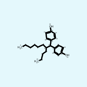 CCCCCCC(CCCC)C(c1ccc(O)cc1)c1ccc(O)cc1